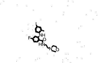 Cc1cc(I)ccc1Nc1cc(F)ccc1C(=O)NCCN1CCOCC1